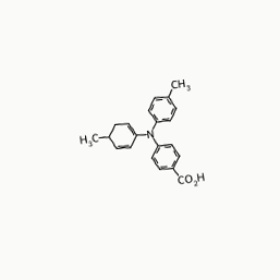 Cc1ccc(N(C2=CCC(C)C=C2)c2ccc(C(=O)O)cc2)cc1